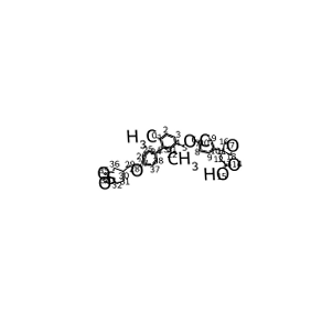 Cc1ccc(COc2ccc(C3(CC(=O)O)COC3)cc2)c(C)c1-c1ccc(OCC2CCS(=O)(=O)C2)cc1